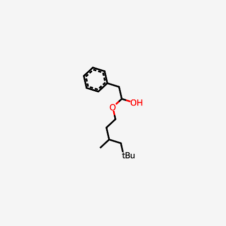 CC(CCOC(O)Cc1ccccc1)CC(C)(C)C